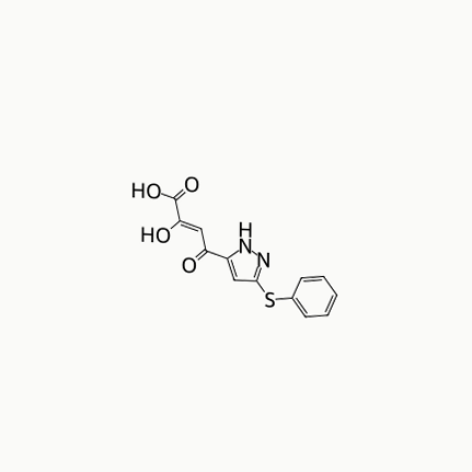 O=C(O)C(O)=CC(=O)c1cc(Sc2ccccc2)n[nH]1